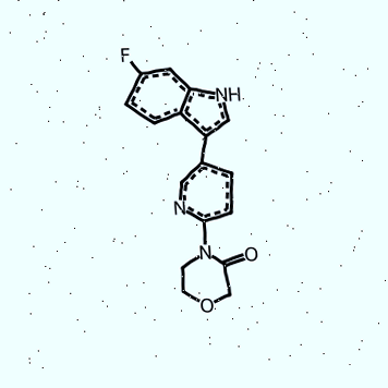 O=C1COCCN1c1ccc(-c2c[nH]c3cc(F)ccc23)cn1